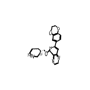 c1cnc2c(OC[C@H]3CCCNC3)nc(-c3ccc4c(c3)OCCO4)cc2n1